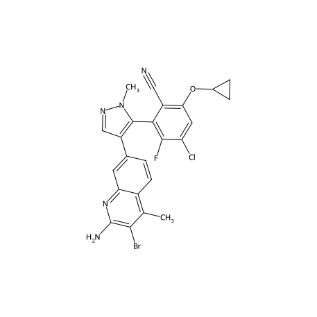 Cc1c(Br)c(N)nc2cc(-c3cnn(C)c3-c3c(F)c(Cl)cc(OC4CC4)c3C#N)ccc12